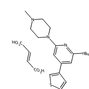 CCCCc1cc(-c2ccsc2)cc(N2CCN(C)CC2)n1.O=C(O)/C=C/C(=O)O